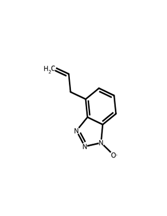 C=CCc1cccc2c1nnn2[O]